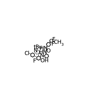 CC(C)(C)CN1CCC2(CC1)CN(c1ccccc1NC(=O)Nc1ccc(OC(C)(F)F)cc1)c1c(O)cc(F)c(-c3ccc(Cl)cc3)c12